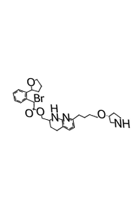 O=C(OCC1CCc2ccc(CCCCO[C@@H]3CCNC3)nc2N1)C(Br)c1ccccc1C1CCCO1